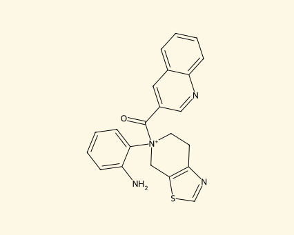 Nc1ccccc1[N+]1(C(=O)c2cnc3ccccc3c2)CCc2ncsc2C1